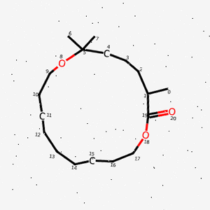 CC1CCCC(C)(C)OCCCCCCCCCOC1=O